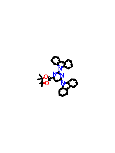 CC1(C)OB(c2cc(-n3c4ccccc4c4ccccc43)nc(-n3c4ccccc4c4ccccc43)n2)OC1(C)C